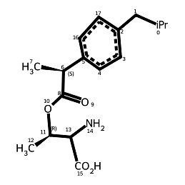 CC(C)Cc1ccc([C@H](C)C(=O)O[C@H](C)C(N)C(=O)O)cc1